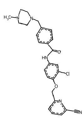 CN1CCN(Cc2ccc(C(=O)Nc3ccc(OCc4cccc(C#N)n4)c(Cl)c3)cc2)CC1